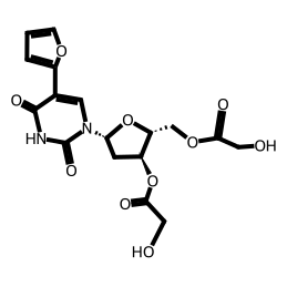 O=C(CO)OC[C@H]1O[C@@H](n2cc(-c3ccco3)c(=O)[nH]c2=O)C[C@@H]1OC(=O)CO